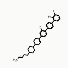 C/C=C/CCC1CCC(C2CC=C(c3ccc(-c4ccc(-c5cccc(F)c5F)cc4)c(F)c3)CC2)CC1